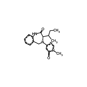 CCC(C)C1C(=O)Nc2ccccc2CN1c1cc(=O)n(C)cn1